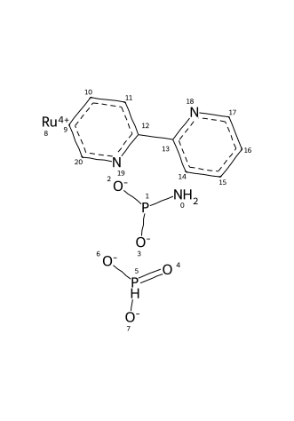 NP([O-])[O-].O=[PH]([O-])[O-].[Ru+4].c1ccc(-c2ccccn2)nc1